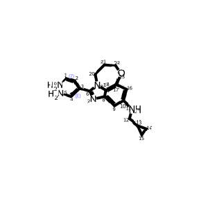 N/C=C\C(=C/N)c1nc2cc(NCC3CC3)cc3c2n1CCCO3